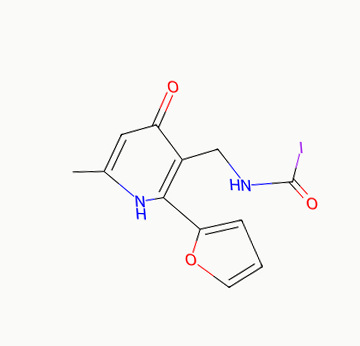 Cc1cc(=O)c(CNC(=O)I)c(-c2ccco2)[nH]1